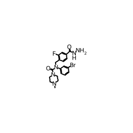 CN1CCN(C(=O)N(Cc2ccc(C(=O)NN)cc2F)c2cccc(Br)c2)CC1